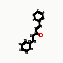 O=C(/C=C/C1=CC=CCC1)CCC1C=CC=CC1